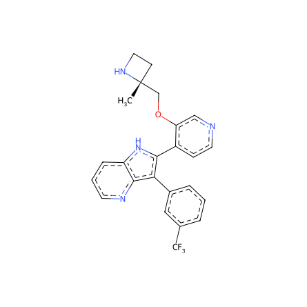 C[C@]1(COc2cnccc2-c2[nH]c3cccnc3c2-c2cccc(C(F)(F)F)c2)CCN1